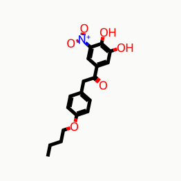 CCCCOc1ccc(CC(=O)c2cc(O)c(O)c([N+](=O)[O-])c2)cc1